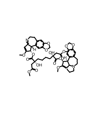 COC(=O)C[C@](O)(CCCC[C@@](O)(CC(=O)OC)C(=O)O[C@@H]1C(OC)=C[C@]23CCCN2CCc2cc4c(cc2[C@H]13)OCO4)C(=O)O[C@@H]1C(OC)=C[C@]23CCCN2CCc2cc4c(cc2[C@H]13)OCO4